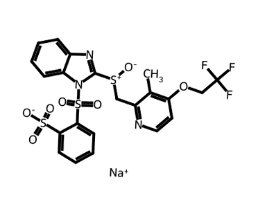 Cc1c(OCC(F)(F)F)ccnc1C[S+]([O-])c1nc2ccccc2n1S(=O)(=O)c1ccccc1S(=O)(=O)[O-].[Na+]